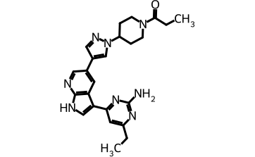 CCC(=O)N1CCC(n2cc(-c3cnc4[nH]cc(-c5cc(CC)nc(N)n5)c4c3)cn2)CC1